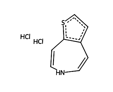 C1=Cc2ccsc2C=CN1.Cl.Cl